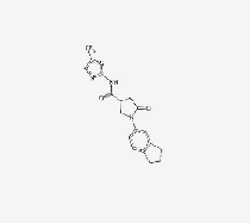 O=C(Nc1ncc(C(F)(F)F)s1)C1CC(=O)N(c2ccc3c(c2)CCC3)C1